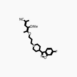 COC(/C=C(\C)C#N)=C(/C)OCCCN1CCC(c2noc3cc(F)ccc23)CC1